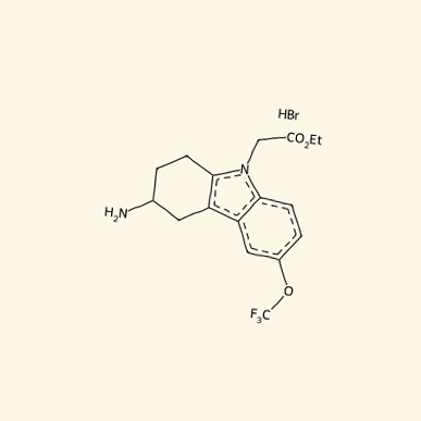 Br.CCOC(=O)Cn1c2c(c3cc(OC(F)(F)F)ccc31)CC(N)CC2